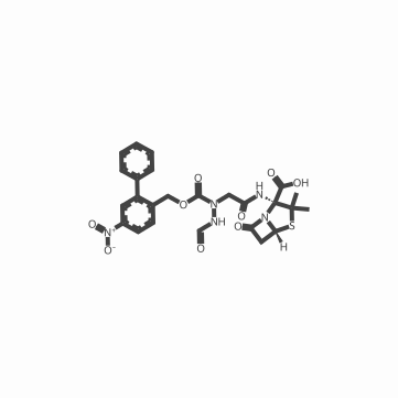 CC1(C)S[C@@H]2CC(=O)N2[C@@]1(NC(=O)CN(NC=O)C(=O)OCc1ccc([N+](=O)[O-])cc1-c1ccccc1)C(=O)O